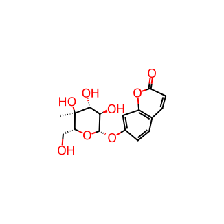 C[C@]1(O)[C@H](O)[C@@H](O)[C@H](Oc2ccc3ccc(=O)oc3c2)O[C@@H]1CO